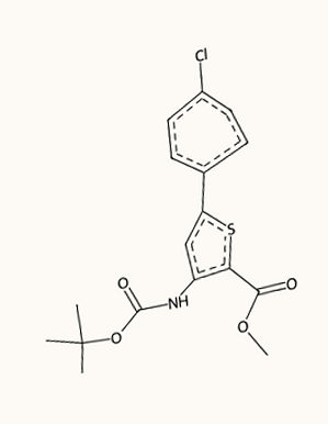 COC(=O)c1sc(-c2ccc(Cl)cc2)cc1NC(=O)OC(C)(C)C